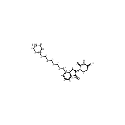 O=C1CCC(N2Cc3c(SCCCCCCCN4CCNCC4)cccc3C2=O)C(=O)N1